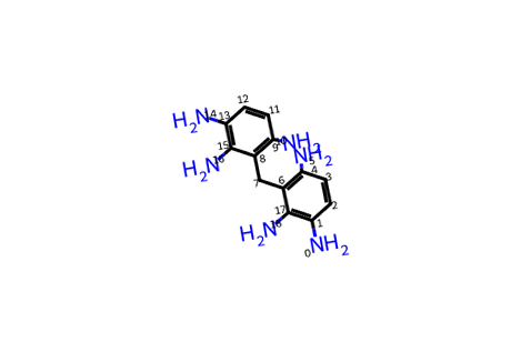 Nc1ccc(N)c(Cc2c(N)ccc(N)c2N)c1N